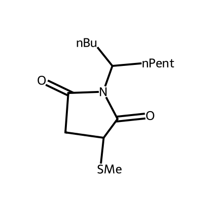 CCCCCC(CCCC)N1C(=O)CC(SC)C1=O